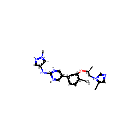 Cc1cncn1C[C@H](C)Oc1cc(-c2cnc(Nc3cnn(C)c3)nc2)ccc1C#N